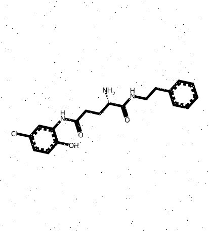 N[C@@H](CCC(=O)Nc1cc(Cl)ccc1O)C(=O)NCCc1ccccc1